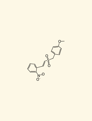 COc1ccc(CS(=O)(=O)/C=C/c2ccccc2[N+](=O)[O-])cc1